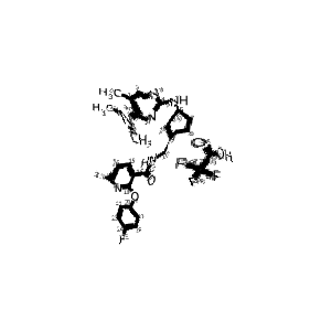 Cc1cnc(N[C@H]2CC[C@@H](CNC(=O)c3cccnc3Oc3ccc(F)cc3)C2)nc1N(C)C.O=C(O)C(F)(F)F